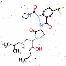 CCC[C@H](O)[C@H](CNCC(C)C)N1CCC(NC(=O)c2cc(C(F)(F)F)ccc2NC(=O)N2CCC2)C1=O